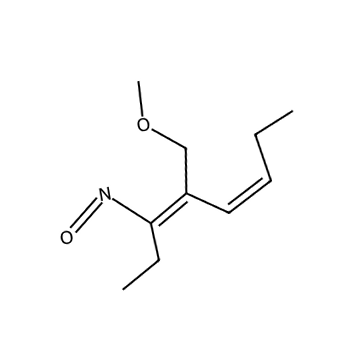 CC/C=C\C(COC)=C(/CC)N=O